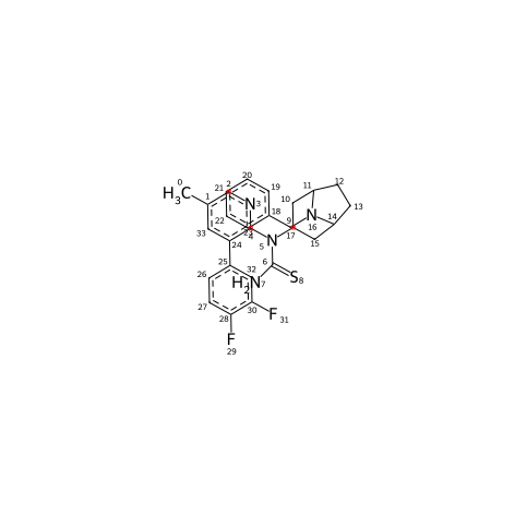 Cc1cnc(N(C(N)=S)C2CC3CCC(C2)N3Cc2ccccc2)c(-c2ccc(F)c(F)c2)c1